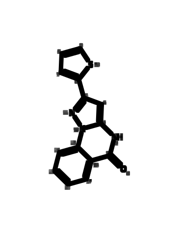 O=c1[nH]c2cc(-c3cccs3)nn2c2ccccc12